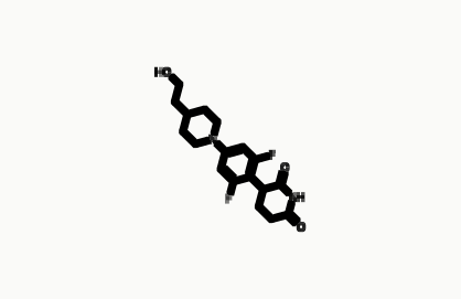 O=C1CCC(c2c(F)cc(N3CCC(CCO)CC3)cc2F)C(=O)N1